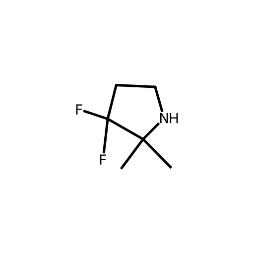 CC1(C)NCCC1(F)F